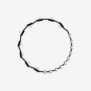 [C]1=C/C=C\C=C/C=C/C=C\C=C\C=C\C=C\C=C\CCCCCCCCCCC/1